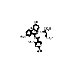 COc1ccc2c(c1)C(OC(C)c1cnc(N(C)C)nc1OC)=N[C@@H]1CC[C@@H](O)C[C@H]21.O=C(O)CCC(=O)C(=O)O